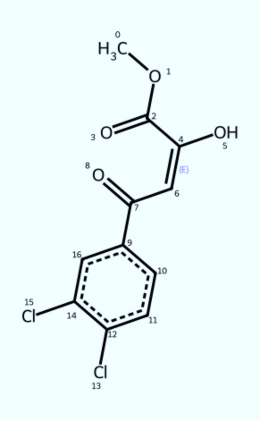 COC(=O)/C(O)=C\C(=O)c1ccc(Cl)c(Cl)c1